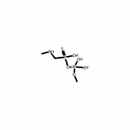 CNCP(O)(=S)O[PH](O)(S)OC